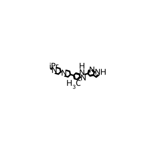 Cc1cc(C2CCN(C3CCN(CC(C)C)CC3)CC2)cc2[nH]c(-c3cnc4[nH]ccc4c3)nc12